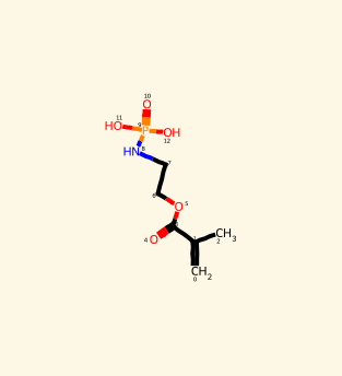 C=C(C)C(=O)OCCNP(=O)(O)O